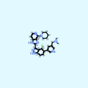 CN(C)Cc1cncc(-c2ccc3[nH]nc(-c4nc5c(N6CCCCC6)nccc5[nH]4)c3c2F)c1